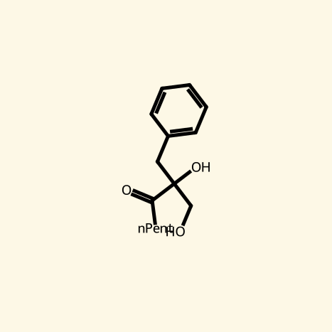 CCCCCC(=O)C(O)(CO)Cc1ccccc1